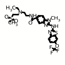 CCN(CCNC(=O)c1ccc2c(c1)nc(Nc1nc3ccc(OC(F)(F)F)cc3s1)n2C)CCS(C)(=O)=O